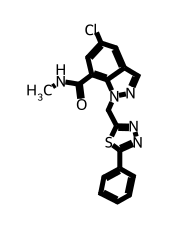 CNC(=O)c1cc(Cl)cc2cnn(Cc3nnc(-c4ccccc4)s3)c12